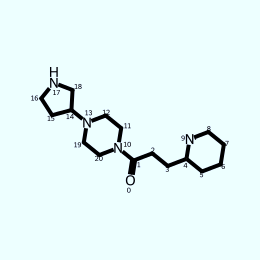 O=C(CCC1CCCC[N]1)N1CCN(C2CCNC2)CC1